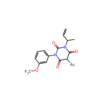 C=CC(C)N1C(=O)C(C(C)=O)C(=O)N(c2cccc(OC(F)(F)F)c2)C1=O